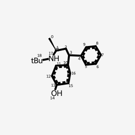 C[C@@H](CC(c1ccccc1)c1ccc(O)cc1)NC(C)(C)C